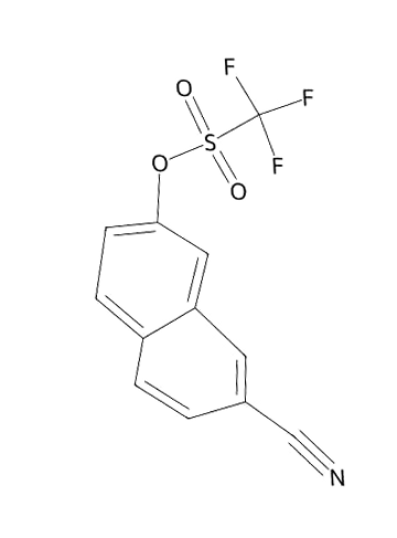 N#Cc1ccc2ccc(OS(=O)(=O)C(F)(F)F)cc2c1